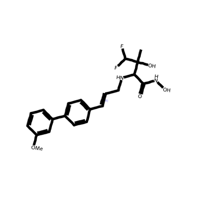 COc1cccc(-c2ccc(/C=C/CNC(C(=O)NO)C(C)(O)C(F)F)cc2)c1